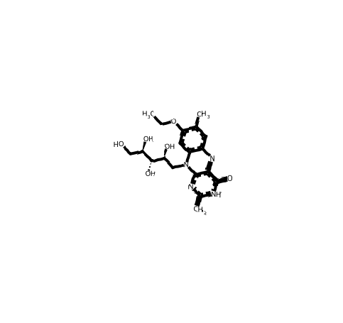 C=c1nc2c(c(=O)[nH]1)=Nc1cc(C)c(OCC)cc1N2C[C@H](O)[C@H](O)[C@H](O)CO